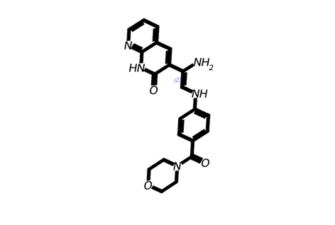 N/C(=C\Nc1ccc(C(=O)N2CCOCC2)cc1)c1cc2cccnc2[nH]c1=O